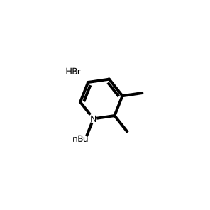 Br.CCCCN1C=CC=C(C)C1C